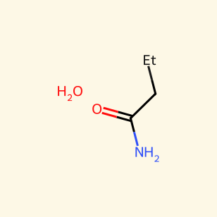 CCCC(N)=O.O